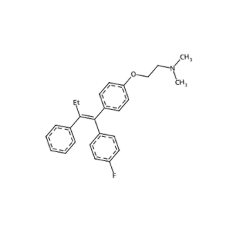 CC/C(=C(/c1ccc(F)cc1)c1ccc(OCCN(C)C)cc1)c1ccccc1